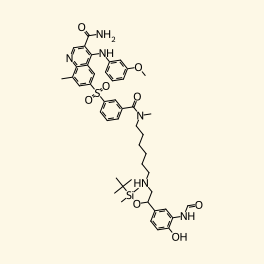 COc1cccc(Nc2c(C(N)=O)cnc3c(C)cc(S(=O)(=O)c4cccc(C(=O)N(C)CCCCCCNCC(O[Si](C)(C)C(C)(C)C)c5ccc(O)c(NC=O)c5)c4)cc23)c1